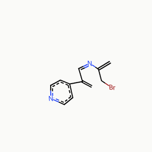 C=C(CBr)/N=C\C(=C)c1ccncc1